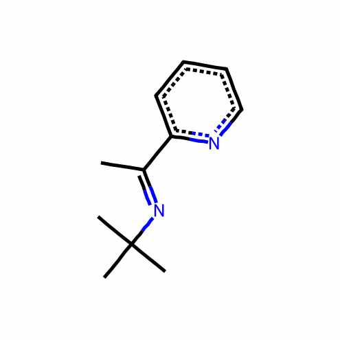 CC(=NC(C)(C)C)c1ccccn1